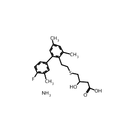 Cc1cc(C)c(CCSCC(O)CC(=O)O)c(-c2ccc(F)c(C)c2)c1.N